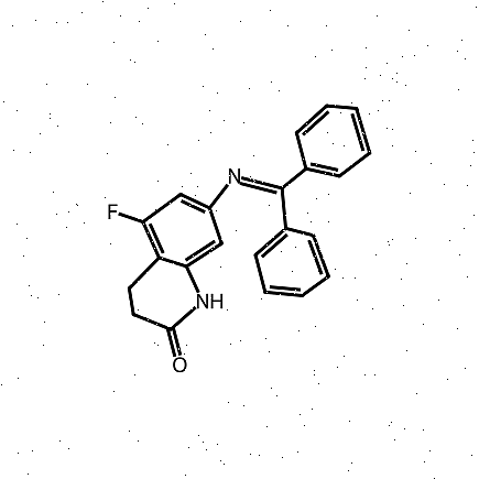 O=C1CCc2c(F)cc(N=C(c3ccccc3)c3ccccc3)cc2N1